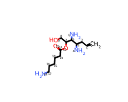 C=CCC(N)C(N)C(CO)OC(=O)CCCCCN